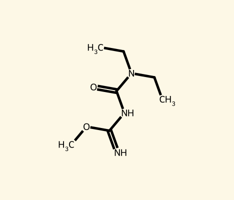 CCN(CC)C(=O)NC(=N)OC